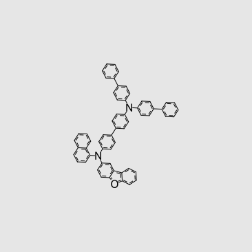 c1ccc(-c2ccc(N(c3ccc(-c4ccccc4)cc3)c3ccc(-c4ccc(N(c5ccc6oc7ccccc7c6c5)c5cccc6ccccc56)cc4)cc3)cc2)cc1